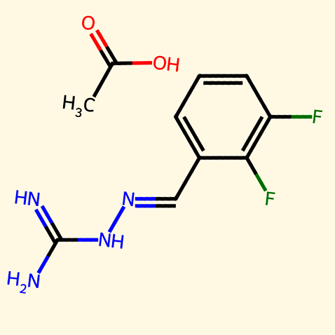 CC(=O)O.N=C(N)N/N=C/c1cccc(F)c1F